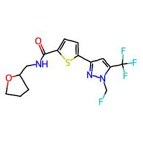 O=C(NCC1CCCO1)c1ccc(-c2cc(C(F)(F)F)n(CF)n2)s1